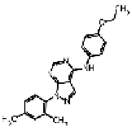 CCOc1ccc(Nc2ncnc3c2cnn3-c2ccc(C)cc2C)cc1